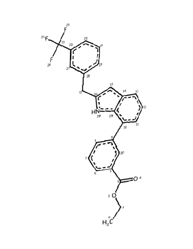 CCOC(=O)c1cccc(-c2cccc3cc(Cc4cccc(C(F)(F)F)c4)[nH]c23)c1